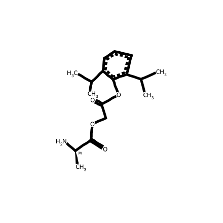 CC(C)c1cccc(C(C)C)c1OC(=O)COC(=O)[C@@H](C)N